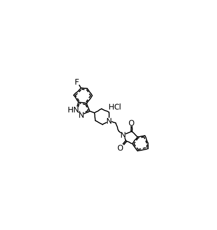 Cl.O=C1c2ccccc2C(=O)N1CCN1CCC(c2n[nH]c3cc(F)ccc23)CC1